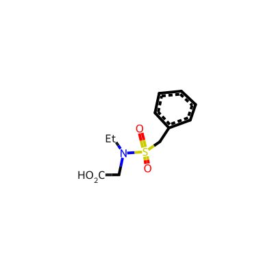 CCN(CC(=O)O)S(=O)(=O)Cc1ccccc1